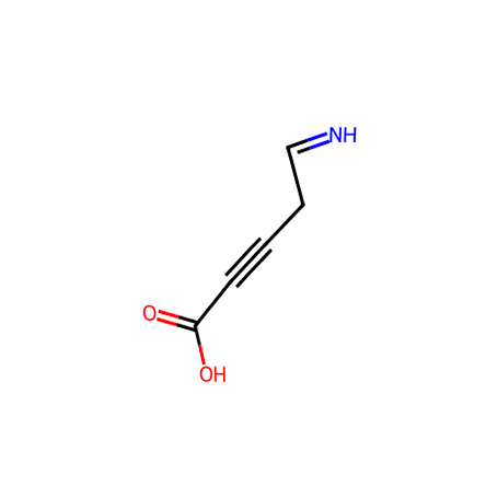 N=CCC#CC(=O)O